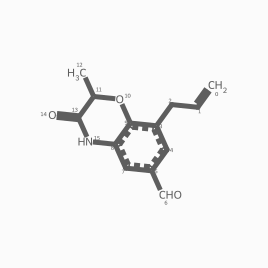 C=CCc1cc(C=O)cc2c1OC(C)C(=O)N2